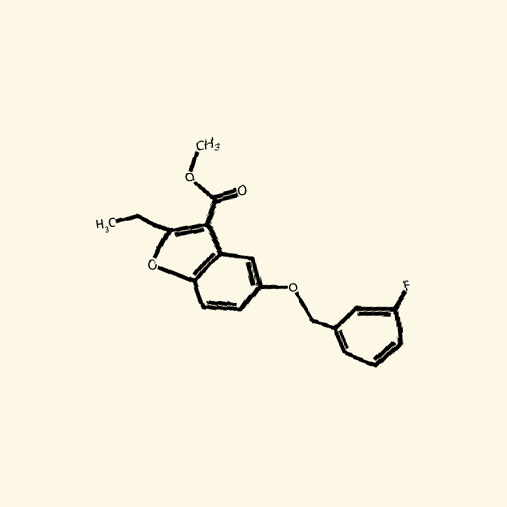 CCc1oc2ccc(OCc3cccc(F)c3)cc2c1C(=O)OC